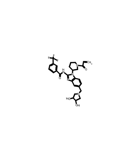 C=CC(=O)N1CCCC(n2c(NC(=O)c3cccc(C(F)(F)F)c3)nc3cc(CN4CC(O)C(O)C4)ccc32)C1